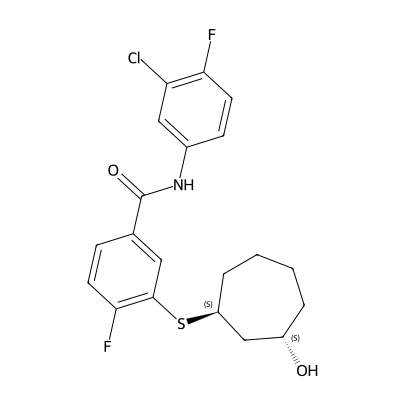 O=C(Nc1ccc(F)c(Cl)c1)c1ccc(F)c(S[C@H]2CCCC[C@H](O)C2)c1